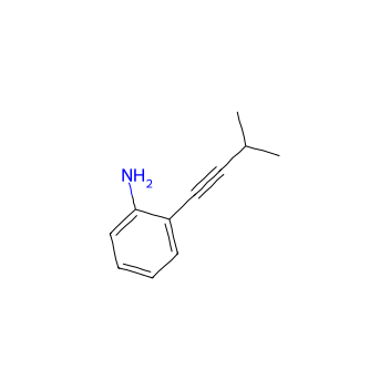 CC(C)C#Cc1ccccc1N